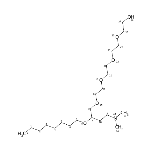 CCCCCCCCOC(CCN(C)C)COCCOCCOCCOCCO